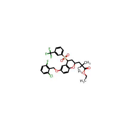 CCOC(=O)C(C)(C)CC1CC(S(=O)(=O)c2cccc(C(F)(F)F)c2)c2cc(OCc3c(F)cccc3Cl)ccc2O1